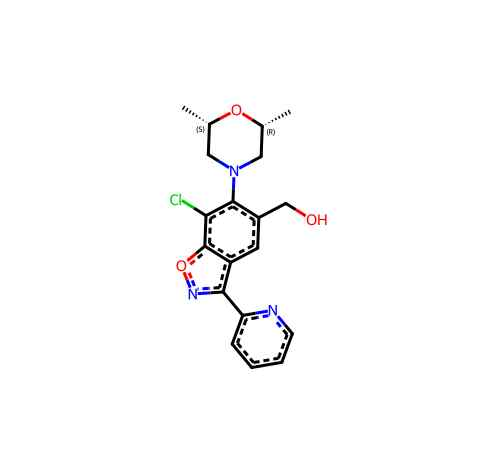 C[C@@H]1CN(c2c(CO)cc3c(-c4ccccn4)noc3c2Cl)C[C@H](C)O1